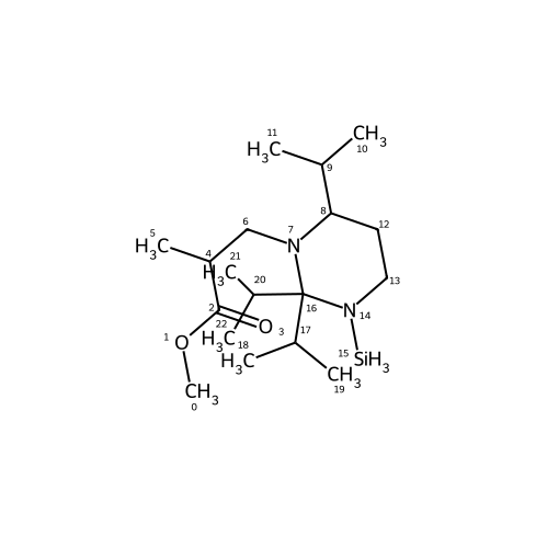 COC(=O)C(C)CN1C(C(C)C)CCN([SiH3])C1(C(C)C)C(C)C